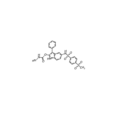 CCCNC(=O)Oc1[nH]c2ccc(NS(=O)(=O)c3ccc(S(C)(=O)=O)cc3)cc2c1-c1ccccc1